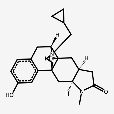 CN1C(=O)C[C@@H]2C[C@@]3(O)[C@H]4Cc5ccc(O)cc5[C@@]3(CCN4CC3CC3)C[C@@H]21